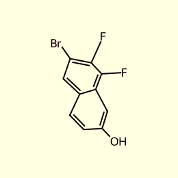 Oc1ccc2cc(Br)c(F)c(F)c2c1